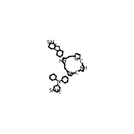 C1=Cc2cc3ccc(cc4nc(cc5ccc(cc1n2)[nH]5)C=C4)[nH]3.[SiH4].[SnH2].c1ccc(N(c2ccccc2)c2ccccc2)cc1.c1ccc2c(c1)Cc1ccccc1-2